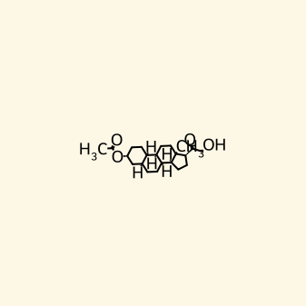 CC(=O)O[C@H]1CC[C@H]2[C@H](CC[C@@H]3[C@@H]2CC[C@]2(C)[C@@H](C(=O)CO)CC[C@@H]32)C1